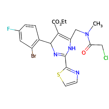 CCOC(=O)C1=C(CN(C)C(=O)CCl)NC(c2nccs2)=NC1c1ccc(F)cc1Br